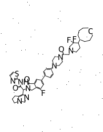 O=C(Nc1nccs1)C(c1ncn2c1CCC2)N1Cc2c(F)cc(-c3ccc(N4CCN(C(=O)CN5CCC(C6CCCCCCCC6)C(F)(F)C5)CC4)cc3)cc2C1=O